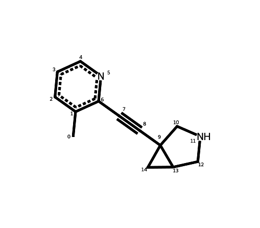 Cc1cccnc1C#CC12CNCC1C2